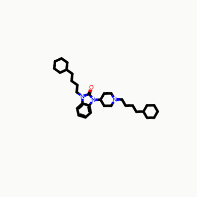 O=c1n(CCCCC2CCCCC2)c2ccccc2n1C1CCN(CCCCC2CCCCC2)CC1